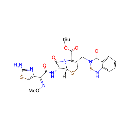 CON=C(C(=O)N[C@@H]1C(=O)N2C(C(=O)OC(C)(C)C)=C(CN3SNc4ccccc4C3=O)CS[C@H]12)c1csc(N)n1